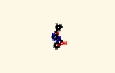 OCc1nc2c(OCc3ccccc3)ncnc2n1C1CCCCO1